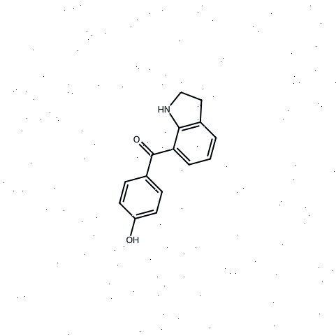 O=C(c1ccc(O)cc1)c1cccc2c1NCC2